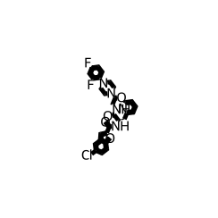 O=C(N[C@@H](Cc1ccccn1)C(=O)NCC(=O)N1CCN(c2ccc(F)cc2F)CC1)c1cc2cc(Cl)ccc2o1